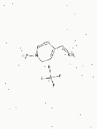 C=CC1=CCN(C)C=C1.F[B-](F)(F)F